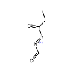 CCC(=O)/N=N/C=O